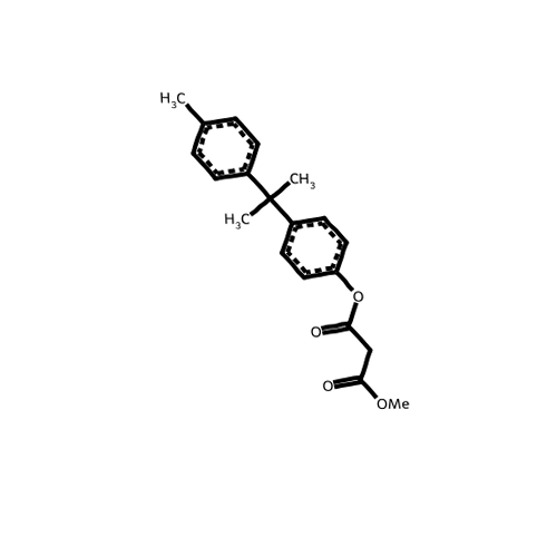 COC(=O)CC(=O)Oc1ccc(C(C)(C)c2ccc(C)cc2)cc1